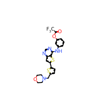 O=C(Oc1cccc(Nc2ncnc3cc(-c4ccc(CN5CCOCC5)s4)sc23)c1)C(F)(F)F